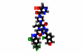 CCc1c(N2CCN(C(=O)c3ncnc(C)c3O)CC2)c(=O)n2nc(-c3ccc4c(c3F)COC4)nc2n1CC(=O)Nc1ccc(C(F)(F)F)cc1Cl